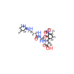 Cc1ccnc(NCCCCC(=O)NCC(=O)NC(c2ccc(C)c([N+](=O)[O-])c2)C(C)C(=O)O)c1